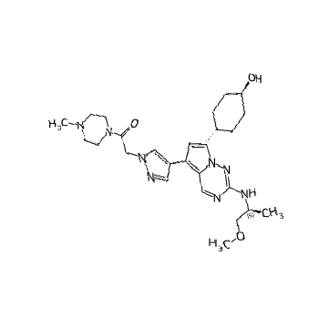 COC[C@H](C)Nc1ncc2c(-c3cnn(CC(=O)N4CCN(C)CC4)c3)cc([C@H]3CC[C@H](O)CC3)n2n1